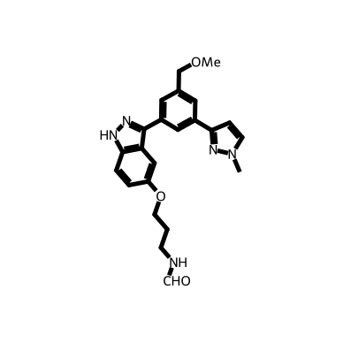 COCc1cc(-c2ccn(C)n2)cc(-c2n[nH]c3ccc(OCCCNC=O)cc23)c1